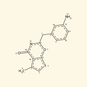 Cc1csc2oc(Cc3cccc(N)c3)nc(=O)c12